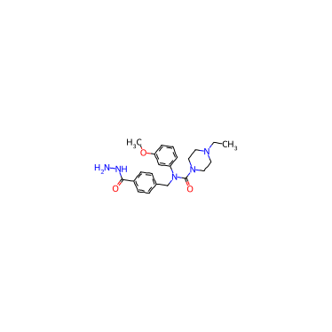 CCN1CCN(C(=O)N(Cc2ccc(C(=O)NN)cc2)c2cccc(OC)c2)CC1